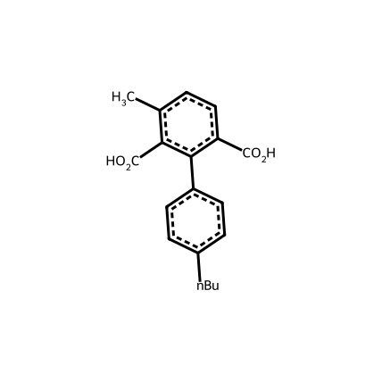 CCCCc1ccc(-c2c(C(=O)O)ccc(C)c2C(=O)O)cc1